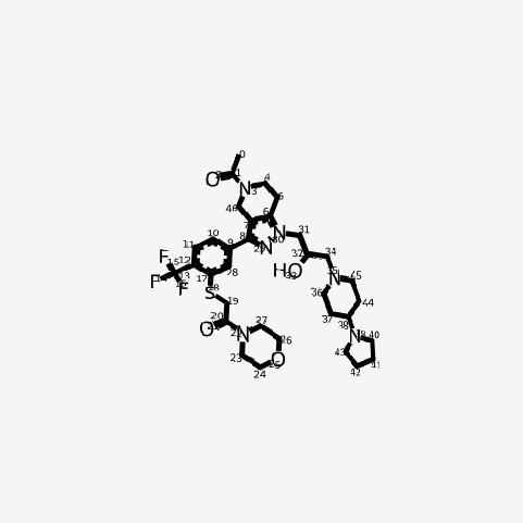 CC(=O)N1CCc2c(c(-c3ccc(C(F)(F)F)c(SCC(=O)N4CCOCC4)c3)nn2CC(O)CN2CCC(N3CCCC3)CC2)C1